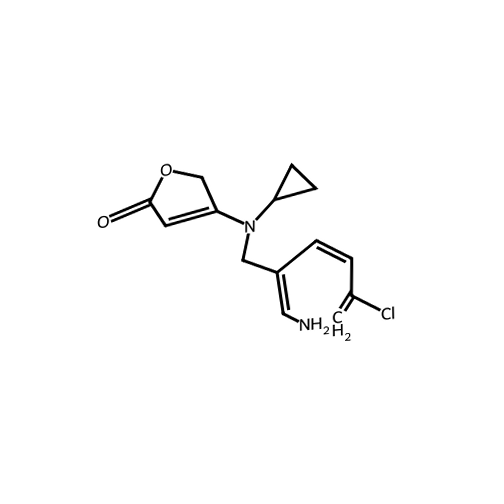 C=C(Cl)/C=C\C(=C/N)CN(C1=CC(=O)OC1)C1CC1